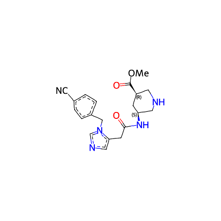 COC(=O)[C@H]1CNC[C@@H](NC(=O)Cc2cncn2Cc2ccc(C#N)cc2)C1